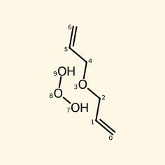 C=CCOCC=C.OOO